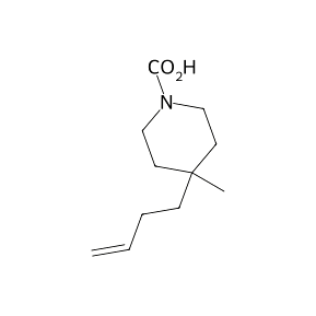 C=CCCC1(C)CCN(C(=O)O)CC1